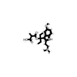 CCC(CC)(OC(=O)C(C)C(=O)O)c1c(CCN(C)C)[nH]c2ccc(OC)cc12